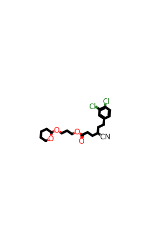 N#CC(CCC(=O)OCCCOC1CCCCO1)CCc1ccc(Cl)c(Cl)c1